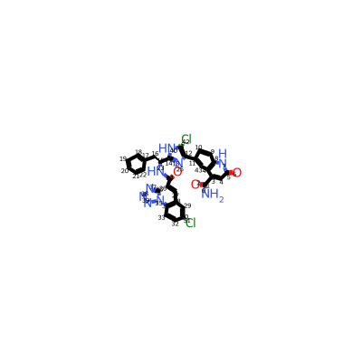 NC(=O)c1cc(=O)[nH]c2ccc(-c3nc([C@H](Cc4ccccc4)NC(=O)C=Cc4cc(Cl)ccc4-n4cnnn4)[nH]c3Cl)cc12